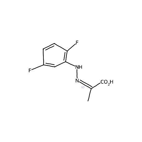 C/C(=N/Nc1cc(F)ccc1F)C(=O)O